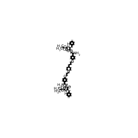 CC(C)(C)OC(=O)N[C@@H](Cc1ccccc1)C(=O)ON=C(N)c1ccc(OCCCC2CCN(CCCOc3ccc(C(N)=NOC(=O)[C@H](Cc4ccccc4)NC(=O)OC(C)(C)C)cc3)CC2)cc1